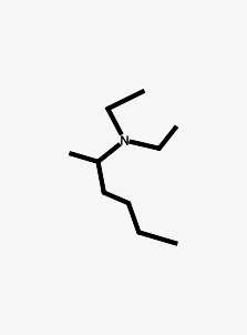 CCCC[C](C)N(CC)CC